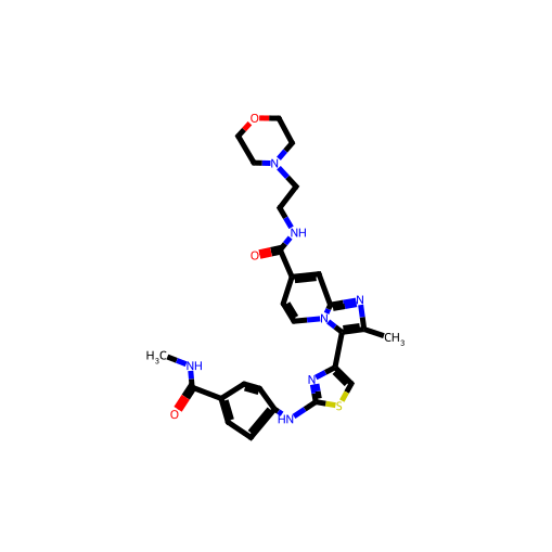 CNC(=O)c1ccc(Nc2nc(-c3c(C)nc4cc(C(=O)NCCN5CCOCC5)ccn34)cs2)cc1